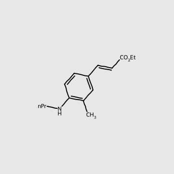 CCCNc1ccc(C=CC(=O)OCC)cc1C